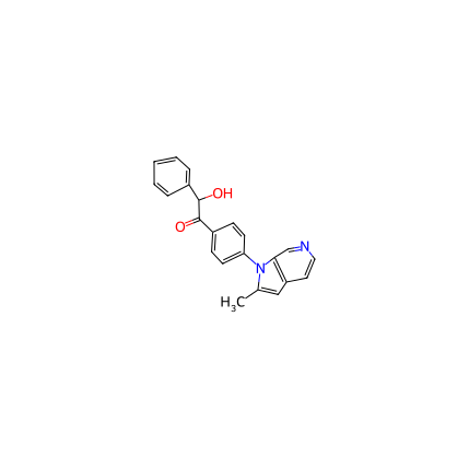 Cc1cc2ccncc2n1-c1ccc(C(=O)C(O)c2ccccc2)cc1